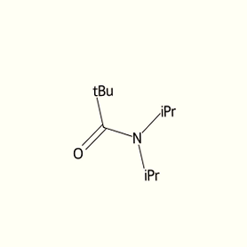 CC(C)N(C(=O)C(C)(C)C)C(C)C